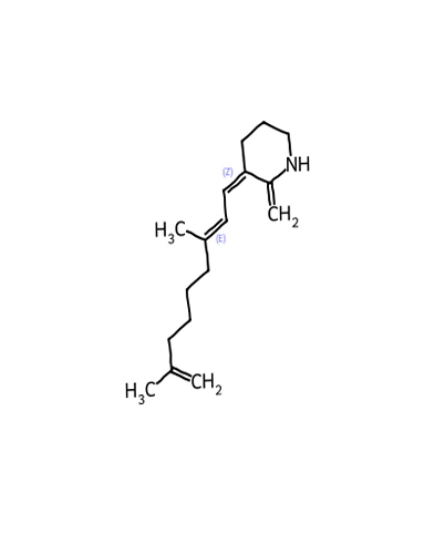 C=C(C)CCCC/C(C)=C/C=C1/CCCNC1=C